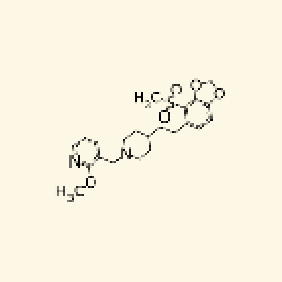 COc1ncccc1CN1CCC(CCc2ccc3c(c2S(C)(=O)=O)OCO3)CC1